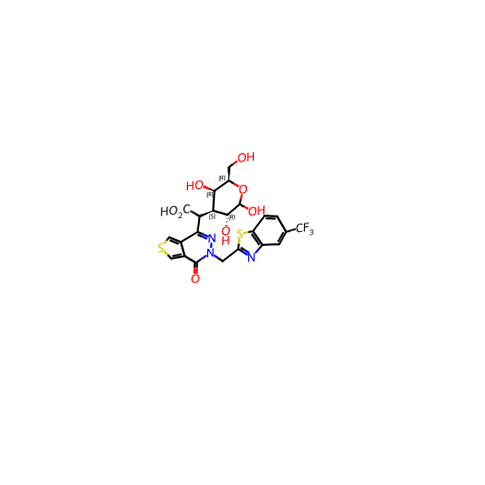 O=C(O)C(c1nn(Cc2nc3cc(C(F)(F)F)ccc3s2)c(=O)c2cscc12)[C@H]1[C@@H](O)[C@@H](CO)OC(O)[C@@H]1O